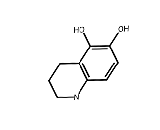 Oc1ccc2c(c1O)CCC[N]2